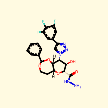 NNC(=O)[C@@H]1O[C@@H]2CCOC(c3ccccc3)O[C@@H]2[C@H](n2cc(-c3cc(F)c(F)c(F)c3)nn2)[C@H]1O